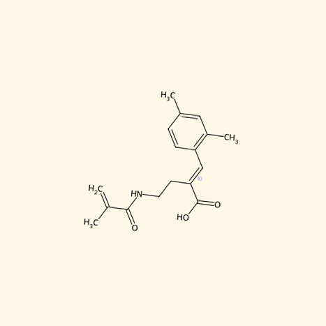 C=C(C)C(=O)NCC/C(=C\c1ccc(C)cc1C)C(=O)O